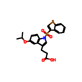 CC(C)Oc1ccc2c(c1)c(CCC(=O)O)cn2S(=O)(=O)c1csc2ccccc12